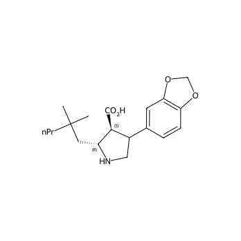 CCCC(C)(C)C[C@H]1NCC(c2ccc3c(c2)OCO3)[C@@H]1C(=O)O